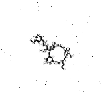 CCCC1CCN(CCC)C(=O)CCCC(=O)NC(C(O)CNCc2cncc(CC)c2)Cc2cc(F)cc(c2)OC1